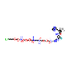 Cc1ccc(C(=O)Nc2ccc(CN3CCN(CCCNC(=O)CCOCCOCCC(=O)NC/C=C/CNC(=O)CCOCCOCCOC(=O)NCCOCCOCCCCCCCl)CC3)c(C(F)(F)F)c2)cc1C#Cc1cnc2cccnn12